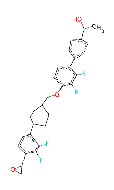 CC(O)c1ccc(-c2ccc(OCC3CCC(c4ccc(C5CO5)c(F)c4F)CC3)c(F)c2F)cc1